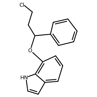 ClCCC(Oc1cccc2cc[nH]c12)c1ccccc1